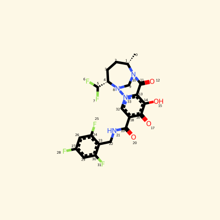 C[C@H]1CC[C@@H](C(F)F)N2CN1C(=O)c1c(O)c(=O)c(C(=O)NCc3c(F)cc(F)cc3F)cn12